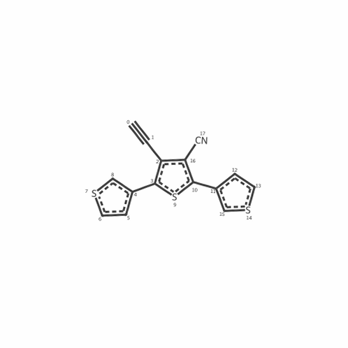 C#Cc1c(-c2ccsc2)sc(-c2ccsc2)c1C#N